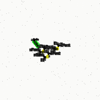 CCCCCC(CC)SC(CC)CCCCC.CCCCCC(CC)SC(CC)CCCCC.CCCCCC(CC)SC(CC)CCCCC.[Cl-].[Cl-].[Cl-].[Cl-].[Ir+4]